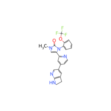 Cn1cc(-c2cc(-c3cnc4c(c3)CCN4)ccn2)n(-c2ccccc2OC(F)(F)F)c1=O